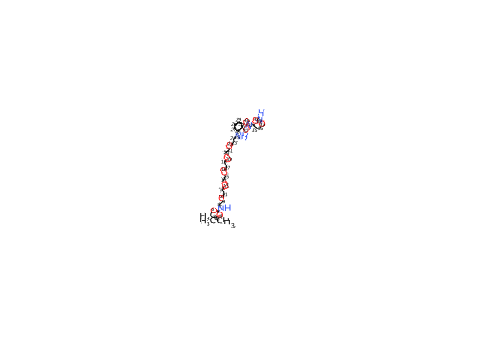 CC(C)(C)OC(=O)NCCOCCOCCOCCOCCOCCNc1cccc2c1ON(C1CCONO1)O2